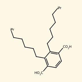 CC(C)CCCCCc1c(C(=O)O)ccc(C(=O)O)c1CCCCCC(C)C